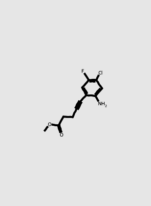 COC(=O)CCC#Cc1cc(F)c(Cl)cc1N